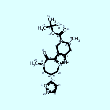 C[C@@H]1Cc2nn3c(c2CN1C(=O)OC(C)(C)C)C(=O)N(C)C[C@@H](c1ccno1)C3